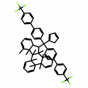 CC1=CC=CC2C(C(C3=CC=CC3)(c3ccc(-c4ccc(C(F)(F)F)cc4)cc3)c3ccc(-c4ccc(C(F)(F)F)cc4)cc3)C3(C)C4(C)C=CC=CC4(C)C4(C)C=CC=CC4(C)C3(C)C12C